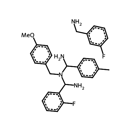 COc1ccc(CN(C(N)c2ccc(C)cc2)C(N)c2ccccc2F)cc1.NCc1cccc(F)c1